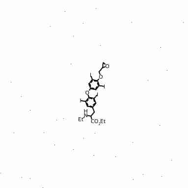 CCNC(Cc1cc(I)c(Oc2cc(I)c(OCC3CO3)c(I)c2)c(I)c1)C(=O)OCC